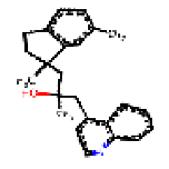 Cc1ccc2c(c1)C(C)(CC(O)(Cc1ccnc3ccccc13)C(F)(F)F)CC2